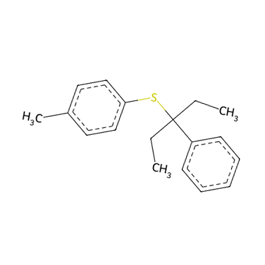 CCC(CC)(Sc1ccc(C)cc1)c1ccccc1